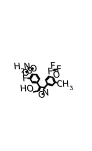 Cc1cc(-c2noc(CO)c2-c2ccc(S(N)(=O)=O)c(F)c2)ccc1OC(F)(F)F